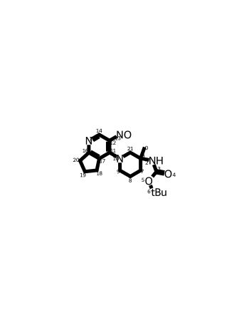 CC1(NC(=O)OC(C)(C)C)CCCN(c2c(N=O)cnc3c2CCC3)C1